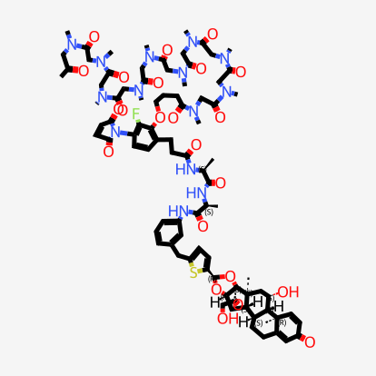 CC(=O)CN(C)C(=O)CN(C)C(=O)CN(C)C(=O)CN(C)C(=O)CN(C)C(=O)CN(C)C(=O)CN(C)C(=O)CN(C)C(=O)CN(C)C(=O)CN(C)C(=O)CCCOc1c(CCC(=O)N[C@@H](C)C(=O)N[C@@H](C)C(=O)Nc2cccc(Cc3ccc([C@@H]4O[C@@H]5C[C@H]6[C@@H]7CCC8=CC(=O)C=C[C@]8(C)[C@H]7[C@@H](O)C[C@]6(C)[C@]5(C(=O)CO)O4)s3)c2)ccc(N2C(=O)C=CC2=O)c1F